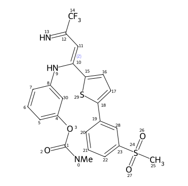 CNC(=O)Oc1cccc(N/C(=C\C(=N)C(F)(F)F)c2ccc(-c3cccc(S(C)(=O)=O)c3)s2)c1